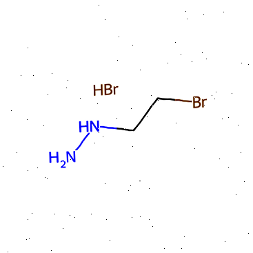 Br.NNCCBr